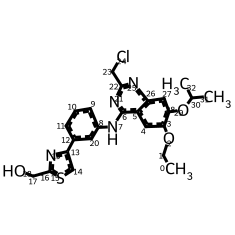 CCOc1cc2c(Nc3cccc(-c4csc(CO)n4)c3)nc(CCl)nc2cc1OC(C)C